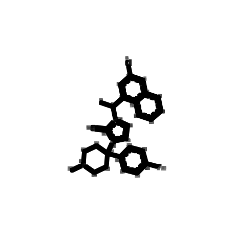 CC(c1cc(Cl)cc2ccccc12)n1ccn(C2(c3ccc(F)cc3)CCN(C)CC2)c1=O